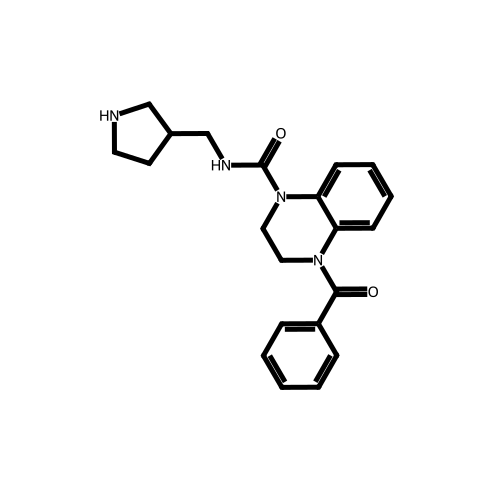 O=C(NCC1CCNC1)N1CCN(C(=O)c2ccccc2)c2ccccc21